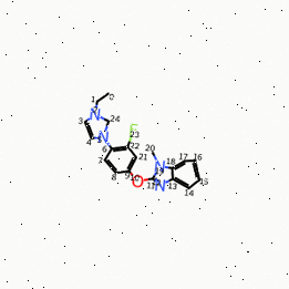 CCN1C=CN(c2ccc(Oc3nc4ccccc4n3C)cc2F)C1